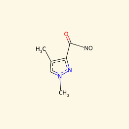 Cc1cn(C)nc1C(=O)N=O